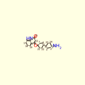 Nc1ccc(-c2ccc(Oc3cc(=O)[nH]c4ccccc34)cc2)cc1